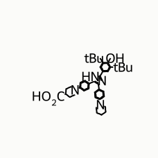 CC(C)(C)c1cc(-c2nc(-c3ccc(N4CCCCC4)cc3)c(-c3ccc(N4CCC(C(=O)O)CC4)cc3)[nH]2)cc(C(C)(C)C)c1O